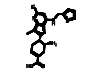 Cc1c([C@H]2CC=C(C(=O)O)C[C@@H]2N)sc2c(NCc3cccs3)cc(Cl)nc12